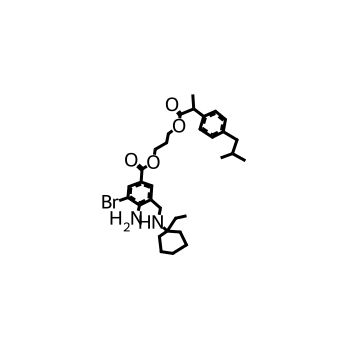 CCC1(NCc2cc(C(=O)OCCCOC(=O)C(C)c3ccc(CC(C)C)cc3)cc(Br)c2N)CCCCC1